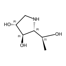 C[C@H](O)[C@H]1NC[C@@H](O)[C@@H]1O